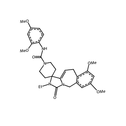 CCN1C(=O)N2Cc3cc(OC)cc(OC)c3CC=C2C12CCN(C(=O)Nc1ccc(OC)cc1OC)CC2